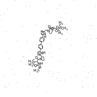 COC(=O)NC(C(=O)N1CCCC1c1ncc(-c2ccc(-c3ccc(-c4cnc(CN5CCC[C@H](NC(=O)OC(C)(C)C)C5=O)[nH]4)cc3)cc2)[nH]1)C(C)C